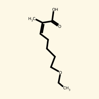 CCOCCCCC=C(C)C(=O)O